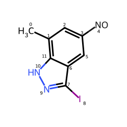 Cc1cc(N=O)cc2c(I)n[nH]c12